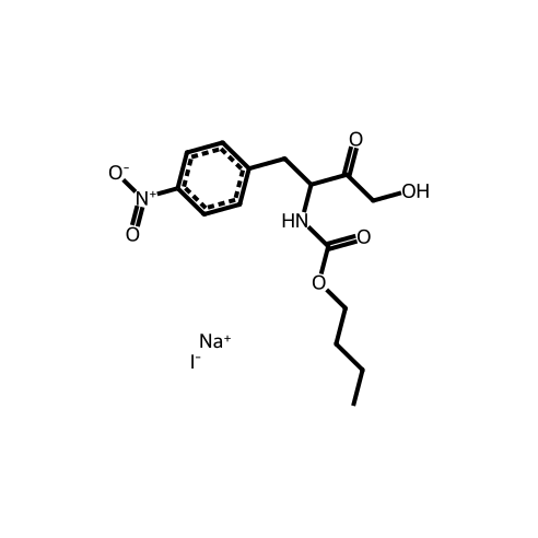 CCCCOC(=O)NC(Cc1ccc([N+](=O)[O-])cc1)C(=O)CO.[I-].[Na+]